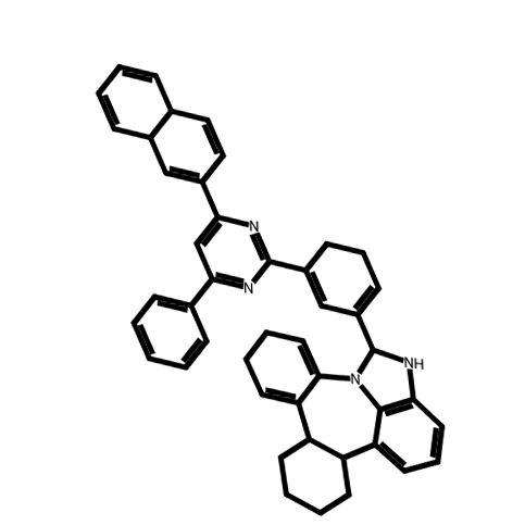 C1=CC2C=CC(c3cc(-c4ccccc4)nc(C4=CC(C5Nc6cccc7c6N5C5=CCCC=C5C5CCCCC75)=CCC4)n3)=CC2C=C1